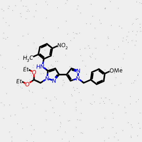 CCOC(Cn1nc(-c2cnn(Cc3ccc(OC)cc3)c2)cc1Nc1cc([N+](=O)[O-])ccc1C)OCC